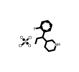 CCC(c1ccccc1F)C1CCCNC1.O=S(=O)(Cl)Cl